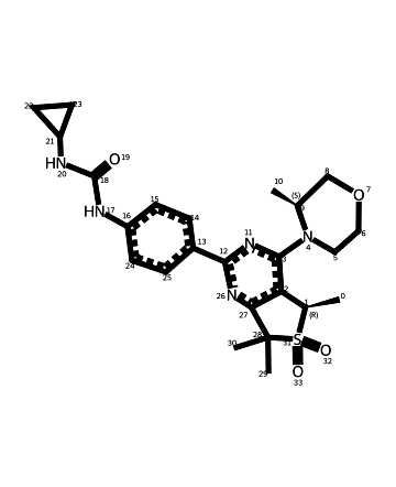 C[C@@H]1c2c(N3CCOC[C@@H]3C)nc(-c3ccc(NC(=O)NC4CC4)cc3)nc2C(C)(C)S1(=O)=O